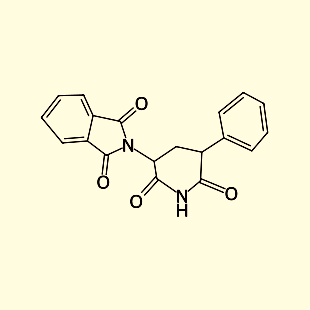 O=C1NC(=O)C(N2C(=O)c3ccccc3C2=O)CC1c1ccccc1